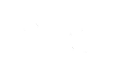 CCc1nc2ccc(C3CCN(C4=NCC(C)O4)CC3)cn2c1N(C)c1nc(-c2ccc(F)cc2)cs1